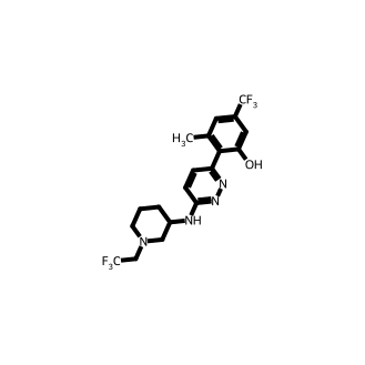 Cc1cc(C(F)(F)F)cc(O)c1-c1ccc(NC2CCCN(CC(F)(F)F)C2)nn1